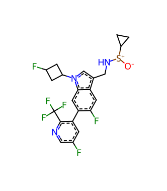 [O-][S+](NCc1cn(C2CC(F)C2)c2cc(-c3cc(F)cnc3C(F)(F)F)c(F)cc12)C1CC1